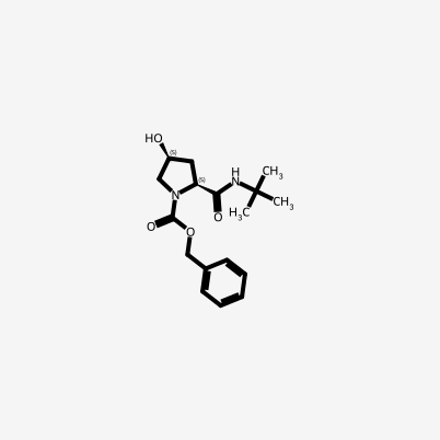 CC(C)(C)NC(=O)[C@@H]1C[C@H](O)CN1C(=O)OCc1ccccc1